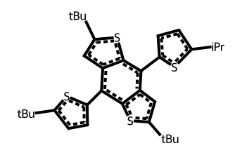 CC(C)c1ccc(-c2c3cc(C(C)(C)C)sc3c(-c3ccc(C(C)(C)C)s3)c3cc(C(C)(C)C)sc23)s1